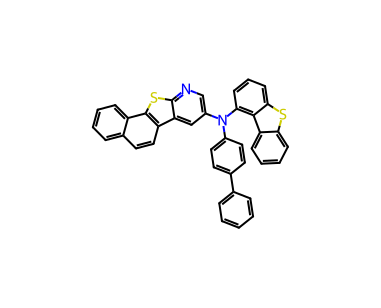 c1ccc(-c2ccc(N(c3cnc4sc5c6ccccc6ccc5c4c3)c3cccc4sc5ccccc5c34)cc2)cc1